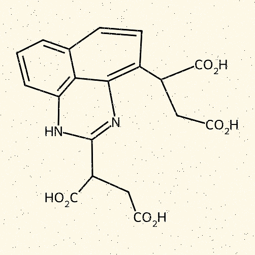 O=C(O)CC(C(=O)O)C1=Nc2c(C(CC(=O)O)C(=O)O)ccc3cccc(c23)N1